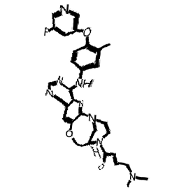 Cc1cc(Nc2ncnc3cc4c(nc23)N2CCN(C(=O)/C=C/CN(C)C)[C@@H](CO4)C2)ccc1Oc1cncc(F)c1